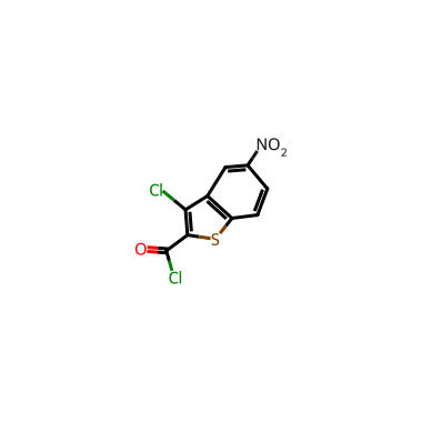 O=C(Cl)c1sc2ccc([N+](=O)[O-])cc2c1Cl